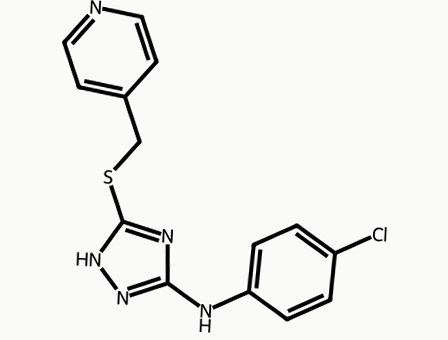 Clc1ccc(Nc2n[nH]c(SCc3ccncc3)n2)cc1